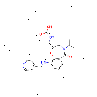 CC(C)N1CC(CNC(=O)O)Oc2c(NCc3ccncc3)cccc2C1=O